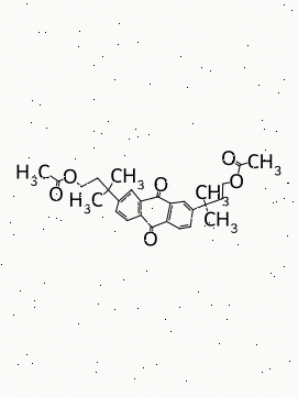 CC(=O)OCCC(C)(C)c1ccc2c(c1)C(=O)c1cc(C(C)(C)CCOC(C)=O)ccc1C2=O